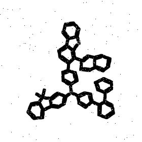 CC1(C)c2ccccc2-c2ccc(N(c3ccc(-c4ccccc4-c4ccccc4)cc3)c3ccc(-c4ccc5c(sc6ccccc65)c4-c4ccc5ccccc5c4)cc3)cc21